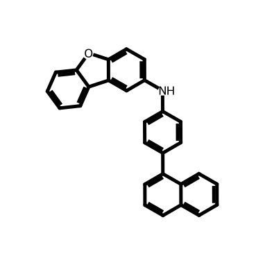 c1ccc2c(-c3ccc(Nc4ccc5oc6ccccc6c5c4)cc3)cccc2c1